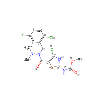 CN(N(Cc1cc(F)ccc1Cl)C(=O)c1sc(NC(=O)OC(C)(C)C)nc1Cl)C(C)(C)C